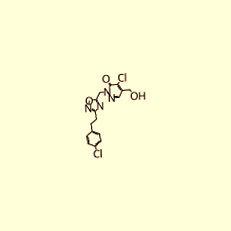 O=c1c(Cl)c(CO)cnn1Cc1nc(CCc2ccc(Cl)cc2)no1